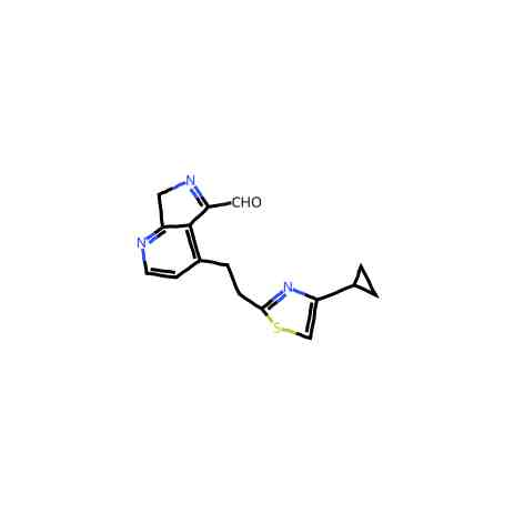 O=CC1=NCc2nccc(CCc3nc(C4CC4)cs3)c21